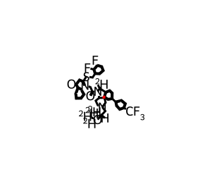 [2H]C([2H])([2H])OC([2H])([2H])CN1CCC(N(C(=O)Cn2c(SCc3cccc(F)c3F)cc(=O)c3ccccc32)C([2H])(C)c2ccc(-c3ccc(C(F)(F)F)cc3)cc2)CC1